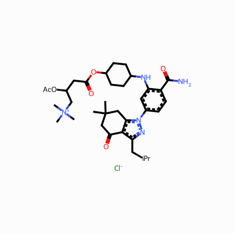 CC(=O)OC(CC(=O)OC1CCC(Nc2cc(-n3nc(CC(C)C)c4c3CC(C)(C)CC4=O)ccc2C(N)=O)CC1)C[N+](C)(C)C.[Cl-]